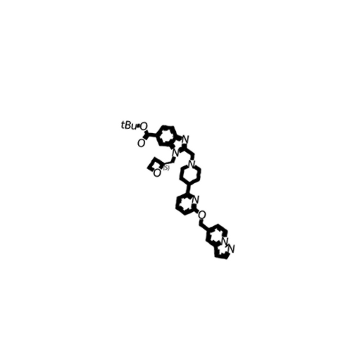 CC(C)(C)OC(=O)c1ccc2nc(CN3CCC(c4cccc(OCc5ccn6nccc6c5)n4)CC3)n(C[C@@H]3CCO3)c2c1